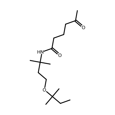 CCC(C)(C)OCCC(C)(C)NC(=O)CCCC(C)=O